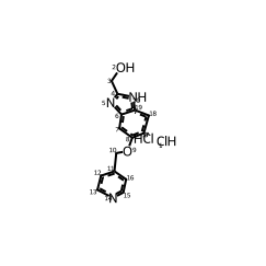 Cl.Cl.OCc1nc2cc(OCc3ccncc3)ccc2[nH]1